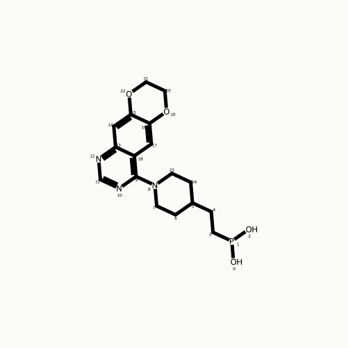 OP(O)CCC1CCN(c2ncnc3cc4c(cc23)OCCO4)CC1